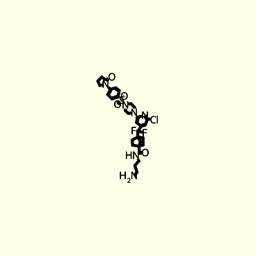 NCCCNC(=O)C12CCC(C(F)(F)c3cc(Cl)nc(N4CCN(S(=O)(=O)c5ccc(N6CCCC6=O)cc5)CC4)c3)(CC1)C2